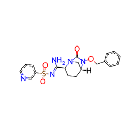 NC(=NS(=O)(=O)c1cccnc1)[C@@H]1CC[C@@H]2CN1C(=O)N2OCc1ccccc1